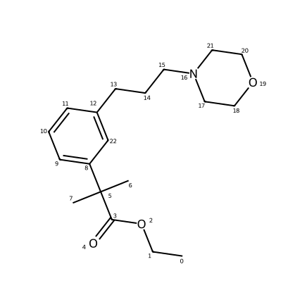 CCOC(=O)C(C)(C)c1cccc(CCCN2CCOCC2)c1